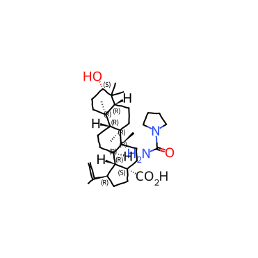 C=C(C)[C@@H]1CC[C@]2(C(=O)O)CC[C@]3(C)[C@H](CC[C@@H]4[C@@]5(C)CC[C@H](O)C(C)(C)[C@@H]5CC[C@]43C)[C@@H]12.NC(=O)N1CCCC1